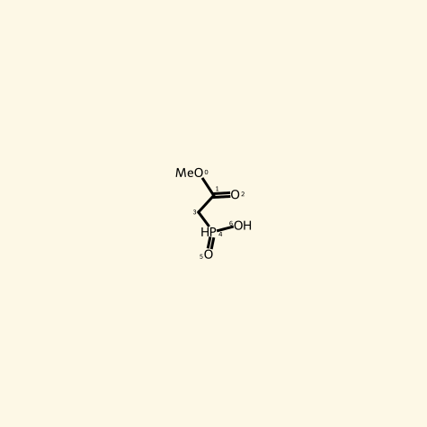 COC(=O)C[PH](=O)O